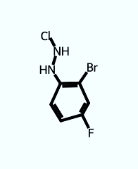 Fc1ccc(NNCl)c(Br)c1